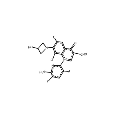 Nc1nc(-n2cc(C=O)c(=O)c3cc(F)c(N4CC(O)C4)c(Cl)c32)c(F)cc1F